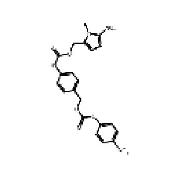 Cn1c(COC(=O)Nc2ccc(COC(=O)Oc3ccc([N+](=O)[O-])cc3)cc2)cnc1[N+](=O)[O-]